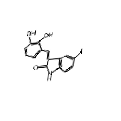 O=C1Nc2ccc(I)cc2C1=Cc1cccc(O)c1O